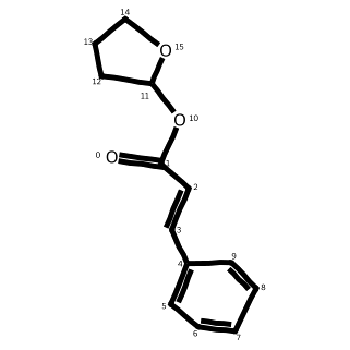 O=C(/C=C/c1ccccc1)OC1CCCO1